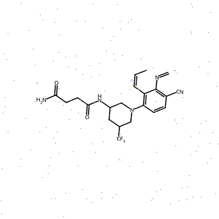 C=Nc1c(C#N)ccc(N2CC(NC(=O)CCC(N)=O)CC(C(F)(F)F)C2)c1/C=C\C